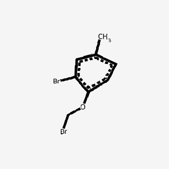 Cc1ccc(OCBr)c(Br)c1